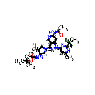 CC(=O)Nc1cc2c(cn1)c(N1C[C@H](NC(=O)OC(C)(C)C)[C@@H](C)C1)nn2-c1cc(C)nc(C(C)(F)F)n1